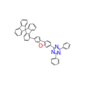 c1ccc(-c2nc(-c3ccccc3)nc(-c3ccc4c(c3)oc3cc(-c5cccc6c5-c5ccccc5C65c6ccccc6-c6ccccc65)ccc34)n2)cc1